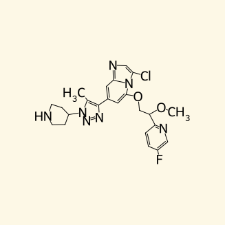 COC(COc1cc(-c2nnn(C3CCNCC3)c2C)cc2ncc(Cl)n12)c1ccc(F)cn1